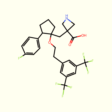 O=C(O)C1(CC2(OCCc3cc(C(F)(F)F)cc(C(F)(F)F)c3)CCCC2c2ccc(F)cc2)CNC1